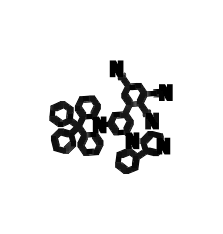 N#Cc1cc(C#N)c(C#N)c(-c2cc(N3c4ccccc4C(c4ccccc4)(c4ccccc4)c4ccccc43)cc(-n3c4ccccc4c4cnccc43)c2)c1